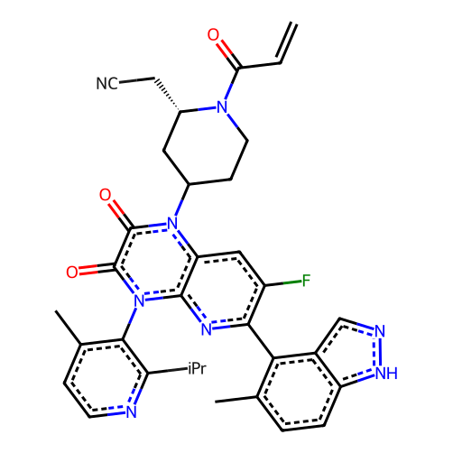 C=CC(=O)N1CCC(n2c(=O)c(=O)n(-c3c(C)ccnc3C(C)C)c3nc(-c4c(C)ccc5[nH]ncc45)c(F)cc32)C[C@@H]1CC#N